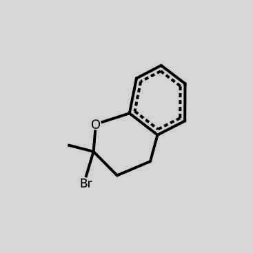 CC1(Br)CCc2ccccc2O1